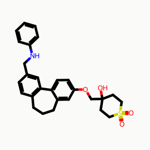 O=S1(=O)CCC(O)(COc2ccc3c(c2)CCCc2ccc(CNc4ccccc4)cc2-3)CC1